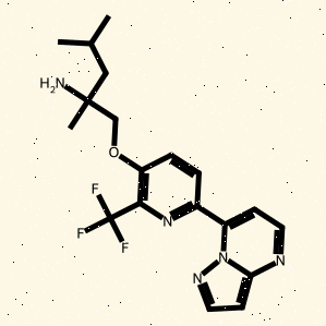 CC(C)CC(C)(N)COc1ccc(-c2ccnc3ccnn23)nc1C(F)(F)F